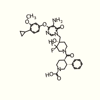 COc1cc(Oc2ncn(C[C@@]3(O)CCN(C(=O)[C@@H]4CCN(C(=O)O)C[C@H]4c4ccccc4)CC3(F)F)c(=O)c2N)ccc1C1CC1